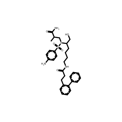 CC(CN(C(CO)CCCCNC(=O)[CH]Cc1ccccc1-c1ccccc1)S(=O)(=O)c1ccc(N)cc1)C(N)=O